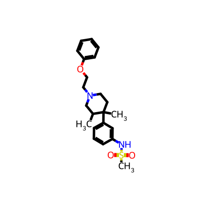 CC1CN(CCOc2ccccc2)CCC1(C)c1cccc(NS(C)(=O)=O)c1